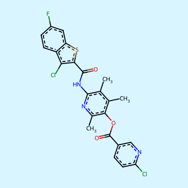 Cc1nc(NC(=O)c2sc3cc(F)ccc3c2Cl)c(C)c(C)c1OC(=O)c1ccc(Cl)nc1